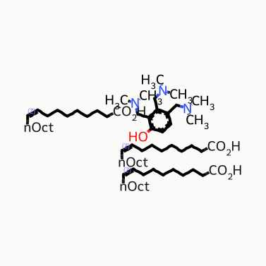 CCCCCCCC/C=C\CCCCCCCC(=O)O.CCCCCCCC/C=C\CCCCCCCC(=O)O.CCCCCCCC/C=C\CCCCCCCC(=O)O.CN(C)Cc1ccc(O)c(CN(C)C)c1CN(C)C